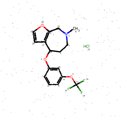 CN1CCC(Oc2cccc(OC(F)(F)F)c2)c2ccoc2C1.Cl